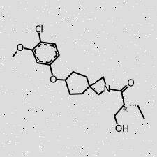 CC[C@H](CO)C(=O)N1CC2(CCC(Oc3ccc(Cl)c(OC)c3)CC2)C1